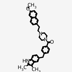 COc1ccc2cc(CCN3CCN(C(=O)c4ccc(Cc5ccc6[nH]c(C)c(C)c6c5)cc4)CC3)ccc2c1